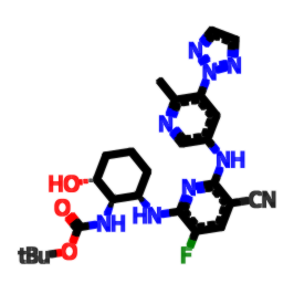 Cc1ncc(Nc2nc(N[C@@H]3CCC[C@@H](O)[C@@H]3NC(=O)OC(C)(C)C)c(F)cc2C#N)cc1-n1nccn1